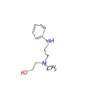 CN(CCO)CCNc1ccccc1